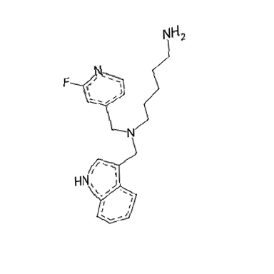 NCCCCCN(Cc1ccnc(F)c1)Cc1c[nH]c2ccccc12